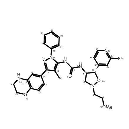 COCCN1C[C@@H](NC(=O)Nc2c(C)c(-c3ccc4c(c3)NCCO4)nn2-c2ccccc2)[C@H](c2ccnc(F)c2)O1